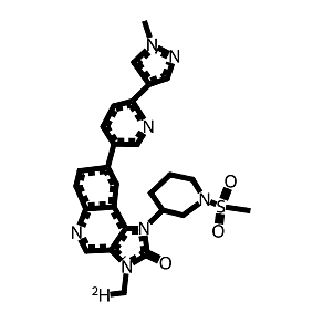 [2H]Cn1c(=O)n(C2CCCN(S(C)(=O)=O)C2)c2c3cc(-c4ccc(-c5cnn(C)c5)nc4)ccc3ncc21